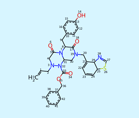 C=CCN1CC(=O)N2C(Cc3ccc(O)cc3)C(=O)N(CC3=CC=CC4SC=NC34)CC2N1C(=O)OCc1ccccc1